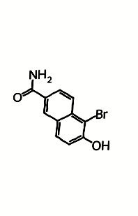 NC(=O)c1ccc2c(Br)c(O)ccc2c1